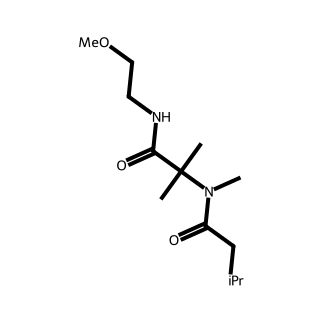 COCCNC(=O)C(C)(C)N(C)C(=O)CC(C)C